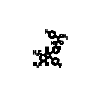 CC1CN(C)C(=O)c2c1[nH]c(-c1ccnc(NC(=O)C(C)c3ccc(F)cc3)c1)c2-c1ccc(F)cc1